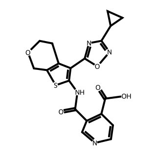 O=C(O)c1ccncc1C(=O)Nc1sc2c(c1-c1nc(C3CC3)no1)CCOC2